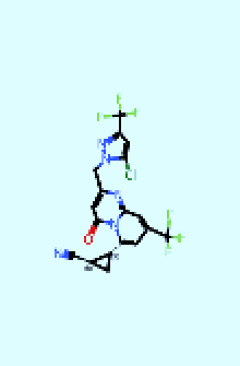 N#C[C@@H]1C[C@H]1c1cc(C(F)(F)F)cc2nc(Cn3nc(C(F)(F)F)cc3Cl)cc(=O)n12